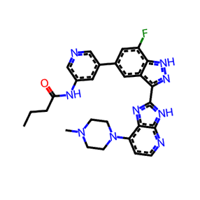 CCCC(=O)Nc1cncc(-c2cc(F)c3[nH]nc(-c4nc5c(N6CCN(C)CC6)ccnc5[nH]4)c3c2)c1